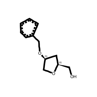 OC[C@@H]1C[C@H](OCc2ccccc2)CO1